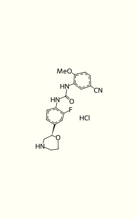 COc1ccc(C#N)cc1NC(=O)Nc1ccc([C@@H]2CNCCO2)cc1F.Cl